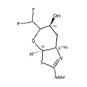 CNC1=N[C@@H]2C[C@H](O)C(C(F)F)O[C@@H]2S1